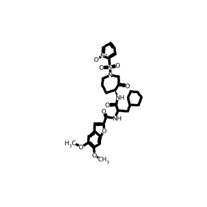 COc1cc2cc(C(=O)NC(CC3CCCCC3)C(=O)N[C@H]3CCCN(S(=O)(=O)c4cccc[n+]4[O-])CC3=O)oc2cc1OC